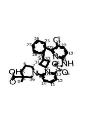 CC1(C(=O)O)CCCN(c2cccc(S(=O)(=O)Nc3ccc(Cl)c(-c4ccccc4C4CCC4)n3)n2)C1